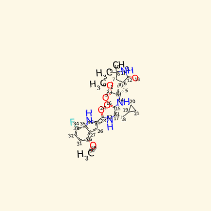 COC(=O)[C@H](C[C@@H]1CC(C)(C)NC1=O)NC(=O)[C@H](CC1CC1)NC(=O)c1cc2c(OC)ccc(F)c2[nH]1